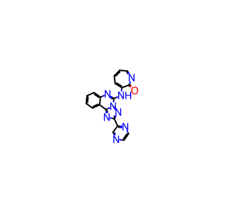 O=c1nccccc1Nc1nc2ccccc2c2nc(-c3cnccn3)nn12